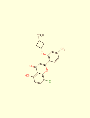 O=c1cc(-c2ccc(C(F)(F)F)cc2O[C@H]2C[C@@H](C(=O)O)C2)oc2c(Cl)ccc(O)c12